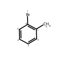 Cc1[c]cc[c]c1Br